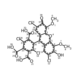 COc1c2oc3c(OC)c(O)c(Cl)cc3c(-c3c(Cl)c(C(=O)O)c(C(=O)O)c(Cl)c3C(=O)O)c-2cc(Cl)c1=O